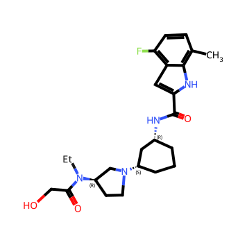 CCN(C(=O)CO)[C@@H]1CCN([C@H]2CCC[C@@H](NC(=O)c3cc4c(F)ccc(C)c4[nH]3)C2)C1